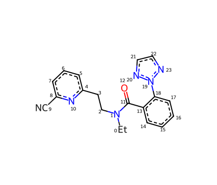 CCN(CCc1cccc(C#N)n1)C(=O)c1ccccc1-n1nccn1